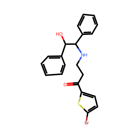 O=C(CCNC(c1ccccc1)C(O)c1ccccc1)c1ccc(Br)s1